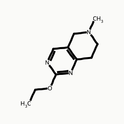 CCOc1ncc2c(n1)CCN(C)C2